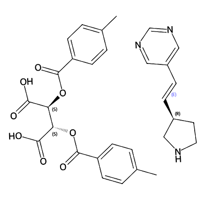 C(=C\[C@H]1CCNC1)/c1cncnc1.Cc1ccc(C(=O)O[C@H](C(=O)O)[C@H](OC(=O)c2ccc(C)cc2)C(=O)O)cc1